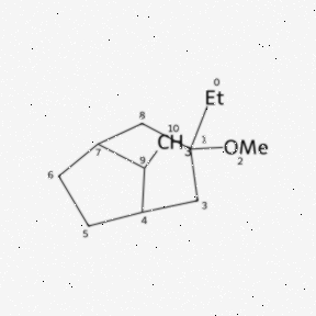 CCC1(OC)CC2CCC(C1)C2C